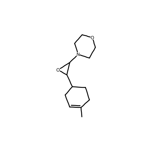 CC1=CCC(C2OC2N2CCOCC2)CC1